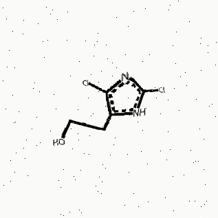 OCCc1[nH]c(Cl)nc1Cl